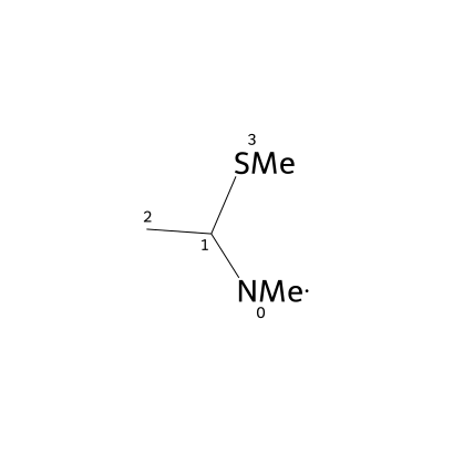 C[N]C(C)SC